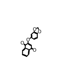 O=C1C=C(Oc2ccc3c(c2)OCO3)C(=O)c2ccccc21